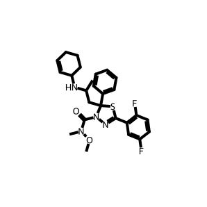 CON(C)C(=O)N1N=C(c2cc(F)ccc2F)SC1(CC(C)NC1C=CCCC1)c1ccccc1